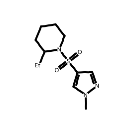 CCC1CCCCN1S(=O)(=O)c1cnn(C)c1